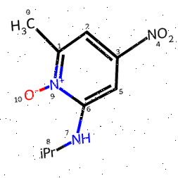 Cc1cc([N+](=O)[O-])cc(NC(C)C)[n+]1[O-]